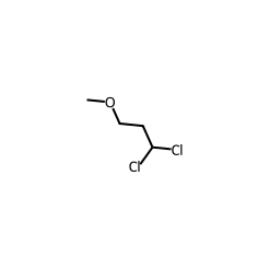 COCCC(Cl)Cl